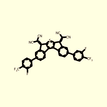 N#CC(C#N)=C1c2cc(-c3ccc(C(F)(F)F)c(F)c3)ccc2-c2c1sc1c2-c2ccc(-c3ccc(C(F)(F)F)c(F)c3)cc2C1=C(C#N)C#N